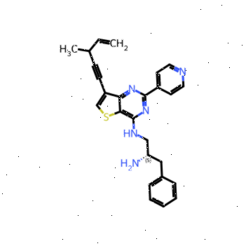 C=CC(C)C#Cc1csc2c(NC[C@@H](N)Cc3ccccc3)nc(-c3ccncc3)nc12